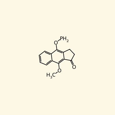 COc1c2c(c(OP)c3ccccc13)CCC2=O